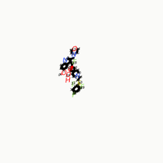 COc1ccc2ncc(CN3CCOCC3)c(C(F)CCC3(C(=O)O)CCN(CCSc4c(F)cc(F)cc4F)CC3)c2c1